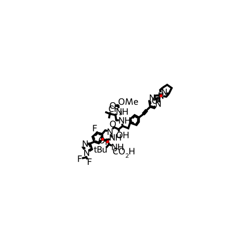 COC(=O)NC(C(=O)NC(Cc1ccc(C#Cc2cnc(N3CC4CCC(C3)N4C3COC3)nc2)cc1)C(O)CN(Cc1c(F)cc(-c2cn(C(F)F)cn2)cc1F)NC(=O)C(NC(=O)O)C(C)(C)C)C(C)(C)C(F)(F)F